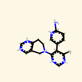 CCc1ncnc(N2CCc3ncncc3C2)c1-c1ccc(N)nc1